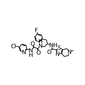 CN1CCc2nc(C(=O)NC(CNC(=O)C(=O)Nc3ccc(Cl)cn3)Cc3cccc(F)c3)sc2C1